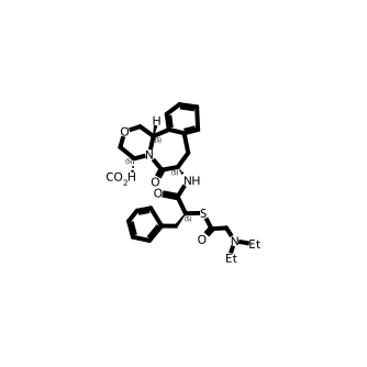 CCN(CC)CC(=O)S[C@@H](Cc1ccccc1)C(=O)N[C@H]1Cc2ccccc2[C@H]2COC[C@@H](C(=O)O)N2C1=O